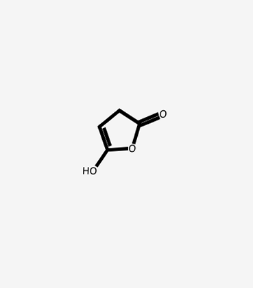 O=C1CC=C(O)O1